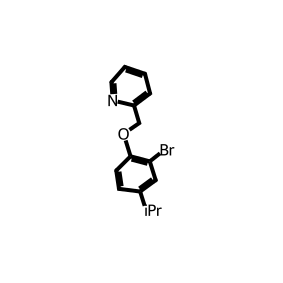 CC(C)c1ccc(OCc2ccccn2)c(Br)c1